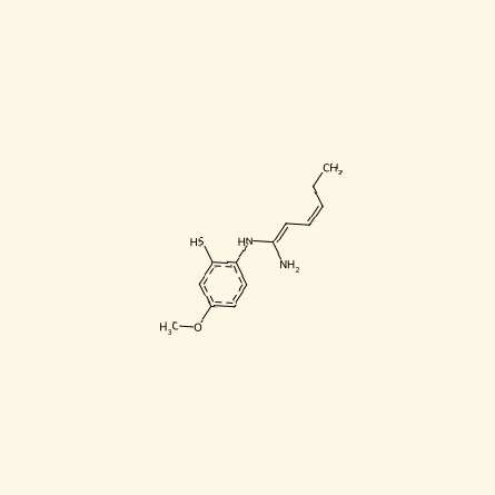 CC/C=C\C=C(N)Nc1ccc(OC)cc1S